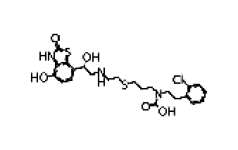 O=C(O)N(CCCSCCNC[C@@H](O)c1ccc(O)c2[nH]c(=O)sc12)CCc1ccccc1Cl